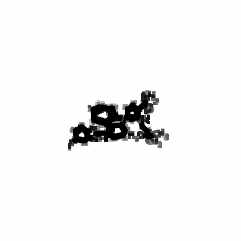 CC(C)(C)CCNc1cc(-n2c3ccccc3c3c(-c4nc5ccc(F)cc5[nH]4)cccc32)ccc1C(N)=O